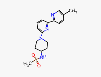 Cc1ccc(-c2cccc(N3CCC(NS(C)(=O)=O)CC3)n2)nc1